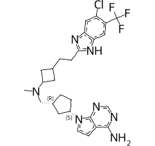 CN(C[C@@H]1CC[C@H](n2ccc3c(N)ncnc32)C1)C1CC(CCc2nc3cc(Cl)c(C(F)(F)F)cc3[nH]2)C1